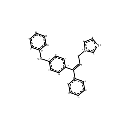 C(Cn1ccnc1)=C(c1ccccc1)c1ccc(Sc2ccccc2)cc1